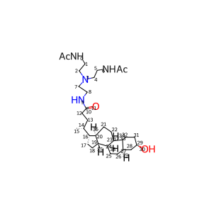 CC(=O)NCCN(CCNC(C)=O)CCNC(=O)CC[C@@H](C)[C@H]1CC[C@@H]2[C@@H]1CC[C@H]1[C@H]2CC[C@@H]2C[C@H](O)CC[C@@]21C